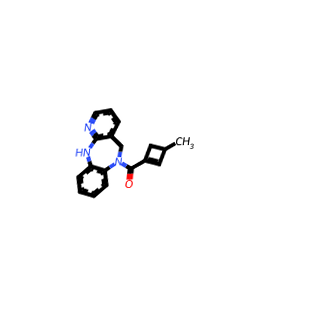 CC1C=C(C(=O)N2Cc3cccnc3Nc3ccccc32)C1